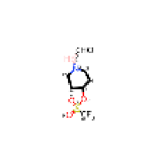 O=CBN1CCC(OS(=O)(=O)C(F)(F)F)CC1